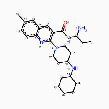 CCC(N)NC(=O)c1cc2cc(C)ccc2nc1N1CCC(NC2CCCCC2)CC1